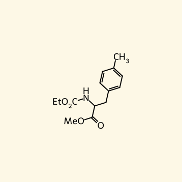 CCOC(=O)NC(Cc1ccc(C)cc1)C(=O)OC